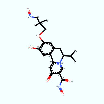 CC(C)C1Cc2cc(OCC(C)(C)CN=O)c(O)cc2-c2cc(=O)c(C(=O)N=O)cn21